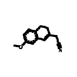 COc1ccc2c(c1)C=C(CC#N)CC2